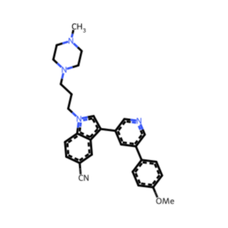 COc1ccc(-c2cncc(-c3cn(CCCN4CCN(C)CC4)c4ccc(C#N)cc34)c2)cc1